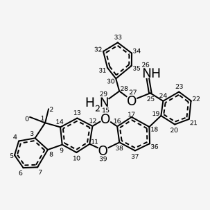 CC1(C)c2ccccc2-c2cc3c(cc21)Oc1cc(-c2ccccc2C(=N)OC(N)c2ccccc2)ccc1O3